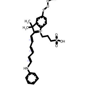 CC1(C)C(/C=C/C=C/C=C/Nc2ccccc2)=[N+](CCCS(=O)(=O)O)c2ccc(SOOO)cc21